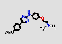 COc1ccc(-c2cnc(Nc3ccc(OCCN(C)C)cc3)nc2)cc1